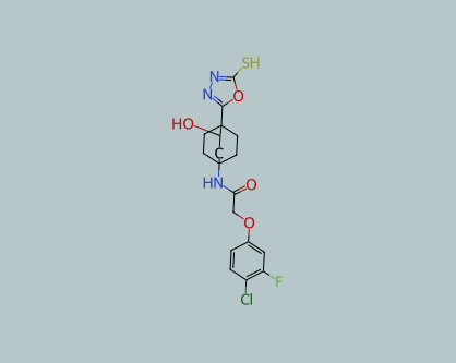 O=C(COc1ccc(Cl)c(F)c1)NC12CCC(c3nnc(S)o3)(CC1)C(O)C2